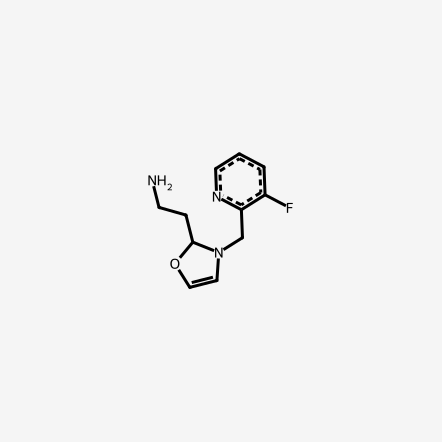 NCCC1OC=CN1Cc1ncccc1F